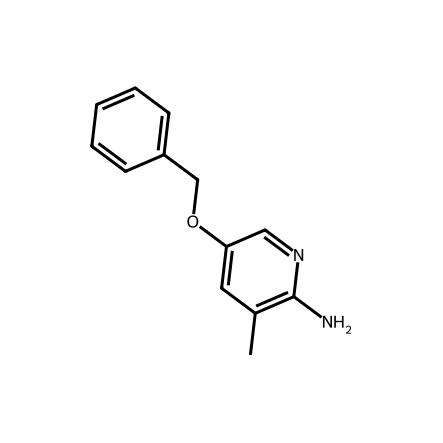 Cc1cc(OCc2ccccc2)cnc1N